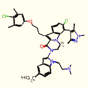 Cc1cc(OCCCc2c3n(c4c(-c5c(C)nn(C)c5C)c(Cl)ccc24)[C@H](C)CN(c2cc4cc(C(=O)O)ccc4n2CCN(C)C)C3=O)cc(C)c1Cl